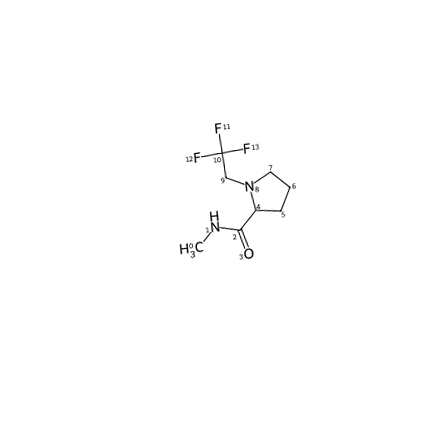 CNC(=O)C1CCCN1CC(F)(F)F